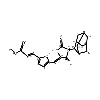 COC(=O)/C=C/c1ccc(/C=C2\SC(=S)N(C3C4CC5CC(C4)CC3C5)C2=O)o1